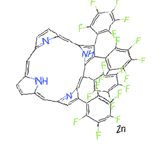 Fc1c(F)c(F)c(C2=Cc3cc4ccc(cc5nc(cc6[nH]c(c(-c7c(F)c(F)c(F)c(F)c7F)c2n3)c(-c2c(F)c(F)c(F)c(F)c2F)c6-c2c(F)c(F)c(F)c(F)c2F)C=C5)[nH]4)c(F)c1F.[Zn]